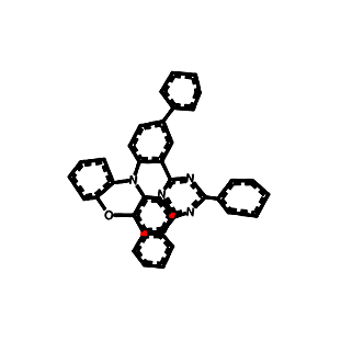 c1ccc(-c2ccc(N3c4ccccc4Oc4ccccc43)c(-c3nc(-c4ccccc4)nc(-c4ccccc4)n3)c2)cc1